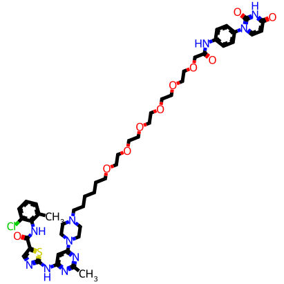 Cc1nc(Nc2ncc(C(=O)Nc3c(C)cccc3Cl)s2)cc(N2CCN(CCCCCCOCCOCCOCCOCCOCCOCC(=O)Nc3ccc(-n4ccc(=O)[nH]c4=O)cc3)CC2)n1